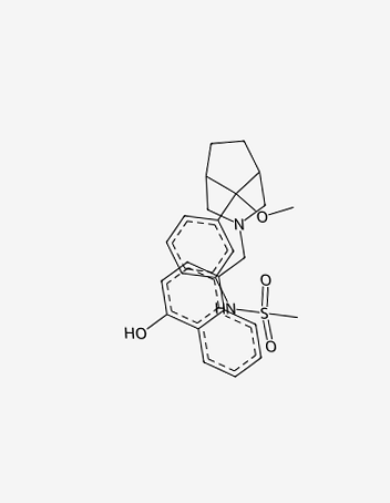 COC1(c2cccc(NS(C)(=O)=O)c2)C2CCC1CN(Cc1ccc(O)c3ccccc13)C2